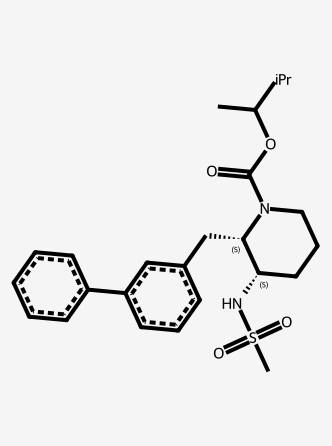 CC(C)C(C)OC(=O)N1CCC[C@H](NS(C)(=O)=O)[C@@H]1Cc1cccc(-c2ccccc2)c1